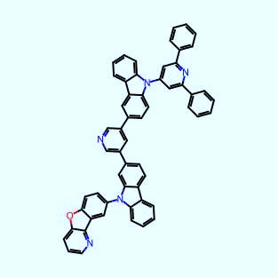 c1ccc(-c2cc(-n3c4ccccc4c4cc(-c5cncc(-c6ccc7c8ccccc8n(-c8ccc9oc%10cccnc%10c9c8)c7c6)c5)ccc43)cc(-c3ccccc3)n2)cc1